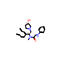 C=C/C=C\C(=C/C=C)[C@@H](CN1CC[C@H](O)C1)N(C)C(=O)CNc1ccccc1